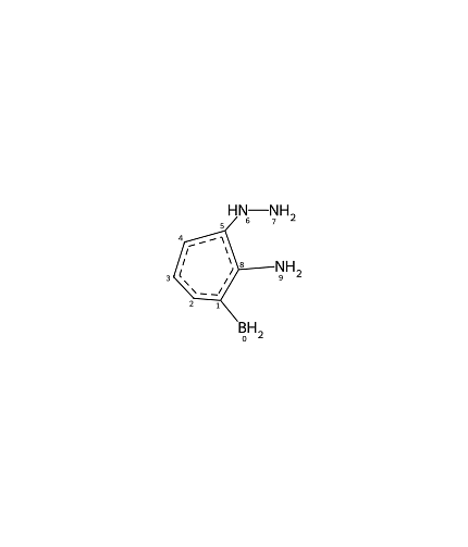 Bc1cccc(NN)c1N